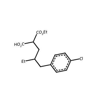 CCOC(=O)C(CC(CC)Cc1ccc(Cl)cc1)C(=O)O